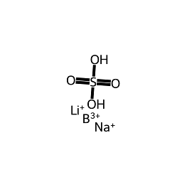 O=S(=O)(O)O.[B+3].[Li+].[Na+]